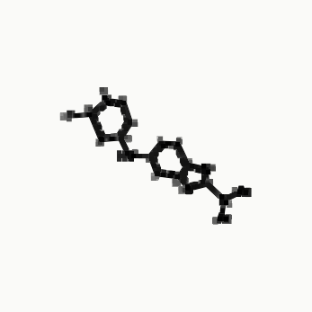 CC(=O)N(C(C)=O)c1nc2ccc(Nc3ccnc(F)c3)cc2s1